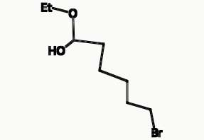 CCOC(O)CCCCCBr